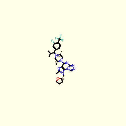 Cc1nc2c(N3C[C@@H](C)N(C(c4ccc(C(F)(F)F)c(F)c4)C(C)C)C[C@@H]3C)nc3nncn3c2n1C[C@@H]1CCCO1